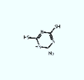 SC1=NCNC(S)=N1.[Na+]